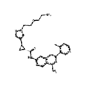 Cc1ccncc1-c1cc2cc(NC(=O)[C@@H]3C[C@H]3c3cnn(CCOCCN)c3)ncc2c(N)n1